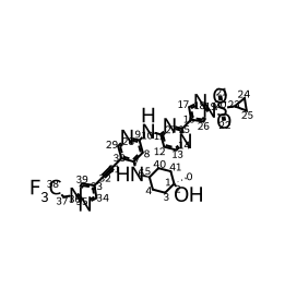 C[C@]1(O)CC[C@@H](Nc2cc(Nc3ccnc(-c4cnn(S(=O)(=O)C5CC5)c4)n3)ncc2C#Cc2cnn(CC(F)(F)F)c2)CC1